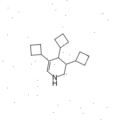 [CH]1NC=C(C2CCC2)C(C2CCC2)C1C1CCC1